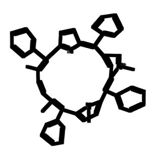 Cc1ccc(C)c(-c2ccccc2)c2ccc(c(-c3ccccc3)c3cc(c(-c4ccccc4)c4nc(c1-c1ccccc1)C=C4)C=[N+]3C)n2C